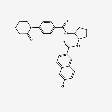 O=C(NC1CCCC1NC(=O)c1ccc2cc(Cl)ccc2c1)c1ccc(N2CCCCC2=O)cc1